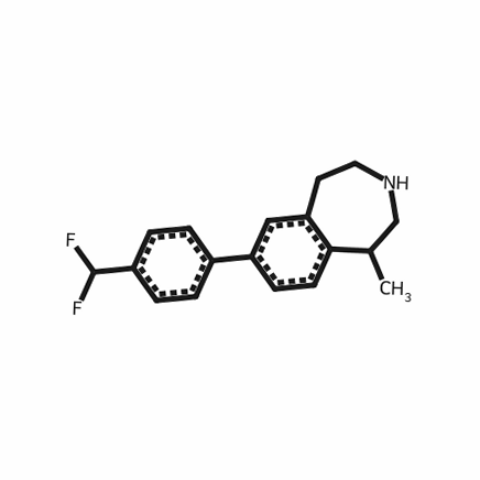 CC1CNCCc2cc(-c3ccc(C(F)F)cc3)ccc21